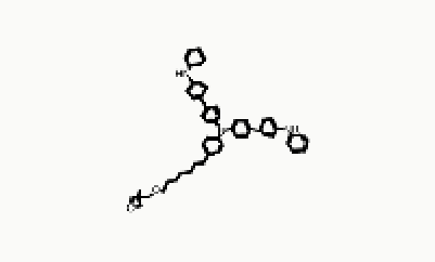 CC1(COCCCCCCCc2ccc(N(c3ccc(-c4ccc(Nc5ccccc5)cc4)cc3)c3ccc(-c4ccc(Nc5ccccc5)cc4)cc3)cc2)COC1